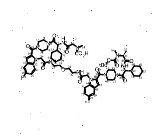 C[C@@H](C(=O)N[C@H](C(=O)N1CCN(C(=O)c2cc3cc(F)ccc3n2CC(=O)NCCOCCNC(=O)Cn2c(C(=O)N3CCN(C(=O)[C@@H](NC(=O)[C@H](C)N(C)C(=O)OC(C)(C)C)C4CCCCC4)CC3)cc3cc(F)ccc32)CC1)C1CCCCC1)N(C)C(=O)O